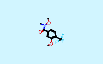 COc1cc(C(=O)N(C)OC)ccc1C(F)(F)F